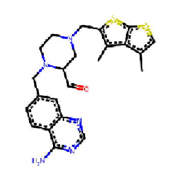 Cc1csc2sc(CN3CCN(Cc4ccc5c(N)ncnc5c4)C(C=O)C3)c(C)c12